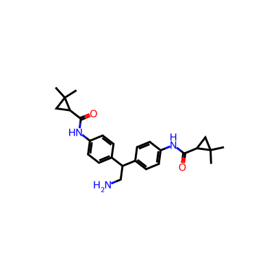 CC1(C)CC1C(=O)Nc1ccc(C(CN)c2ccc(NC(=O)C3CC3(C)C)cc2)cc1